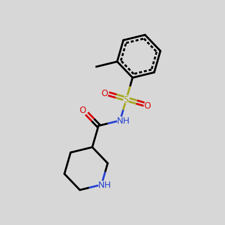 Cc1ccccc1S(=O)(=O)NC(=O)C1CCCNC1